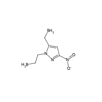 BCCn1nc([N+](=O)[O-])cc1CB